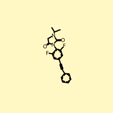 CC(C)N1CC(=O)N(c2c(F)cc(C#Cc3ccccc3)cc2F)C1=O